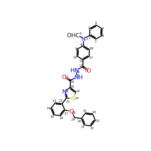 O=CN(c1ccccc1)c1ccc(C(=O)NNC(=O)c2csc(-c3ccccc3OCc3ccccc3)n2)cc1